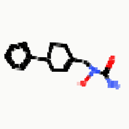 NC(=O)N(O)CC1=CCC(c2ccccc2)CC1